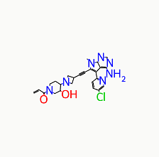 C=CC(=O)N1CC[C@@H](N2CC(C#Cc3c(-c4ccc(Cl)cn4)c4c(N)ncnc4n3C)C2)[C@@H](O)C1